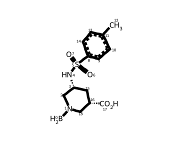 BN1C[C@H](NS(=O)(=O)c2ccc(C)cc2)C[C@H](C(=O)O)C1